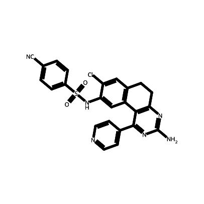 N#Cc1ccc(S(=O)(=O)Nc2cc3c(cc2Cl)CCc2nc(N)nc(-c4ccncc4)c2-3)cc1